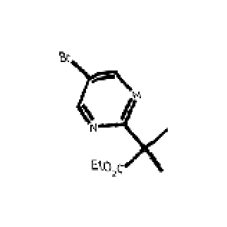 CCOC(=O)C(C)(C)c1ncc(Br)cn1